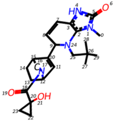 Cn1c2c([nH]c1=O)C=CC(C1=CC3CCC1CN3C(=O)C1(O)CC1)N2CC(C)(C)C